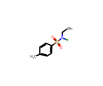 Cc1ccc(S(=O)(=O)N(F)CC(C)(C)C)cc1